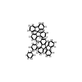 c1ccc(-c2ccc(N(c3cccc4c3-c3ccccc3C43c4ccccc4-c4ccccc43)c3cccc4c3-c3ccccc3C43c4ccccc4-c4ccccc43)cc2)cc1